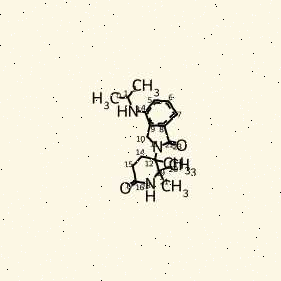 CC(C)Nc1cccc2c1CN(C1(C)CCC(=O)NC1(C)C)C2=O